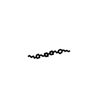 CCCCCC1CCC(CCc2ccc(-c3ccc(CCC4CCC(CCCCC)CC4)cc3)cc2)CC1